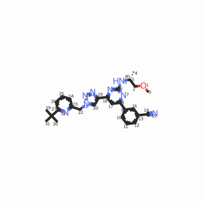 COC[C@@H](C)Nc1nc(-c2cccc(C#N)c2)cc(-c2cn(Cc3cccc(C(C)(C)C)n3)nn2)n1